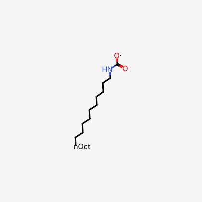 CCCCCCCCCCCCCCCCCCNC([O])=O